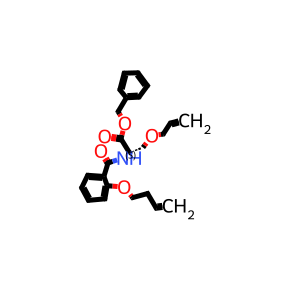 C=CCCOc1ccccc1C(=O)N[C@@H](COCC=C)C(=O)OCc1ccccc1